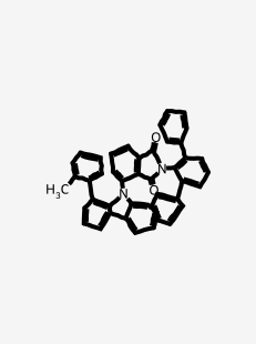 Cc1ccccc1-c1cccc2c3ccccc3n(-c3cccc4c3C(=O)N(c3c(-c5ccccc5)cccc3-c3ccccc3)C4=O)c12